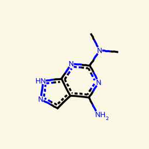 CN(C)c1nc(N)c2cn[nH]c2n1